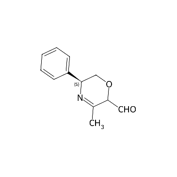 CC1=N[C@@H](c2ccccc2)COC1C=O